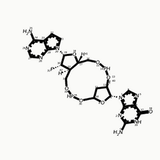 Nc1nc2c(ncn2[C@@H]2OC3C[C@H]2OPOC[C@H]2O[C@@H](n4ccc5c(N)ncnc54)[C@@H](F)[C@@H]2COPO3)c(=O)[nH]1